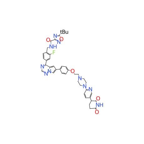 CC(C)(C)c1nc(C(=O)NCc2ccc(-c3ncnn4cc(-c5ccc(OCCN6CCN(c7ccc(C8CCC(=O)NC8=O)cn7)CC6)cc5)cc34)cc2F)no1